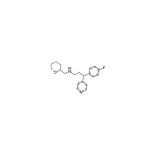 Fc1ccc(C([CH]CNCC2CCCCO2)c2ccncc2)cc1